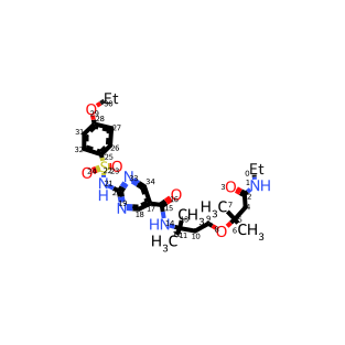 CCNC(=O)CC(C)(C)OCCC(C)(C)NC(=O)c1cnc(NS(=O)(=O)c2ccc(OCC)cc2)nc1